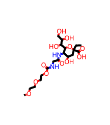 CCC1(C(=O)O)CC(O)C(NC(=O)CNC(=O)OCCOCCOC)C(C(O)C(O)CO)O1